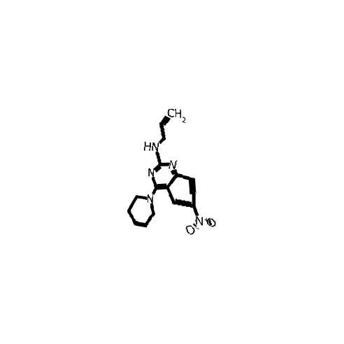 C=CCNc1nc(N2CCCCC2)c2cc([N+](=O)[O-])ccc2n1